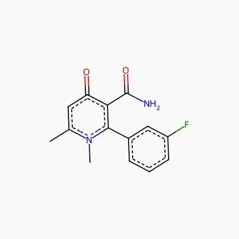 Cc1cc(=O)c(C(N)=O)c(-c2cccc(F)c2)n1C